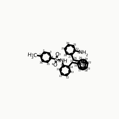 Cc1ccc(S(=O)(=O)Nc2ccccc2C[C]23[CH]4[CH]5[CH]6[CH]2[Fe]56432789[CH]3[CH]2[CH]7[C]8(Cc2ccccc2N)[CH]39)cc1